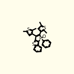 Cc1cc(C2=C(c3cc(C)sc3C)P(=O)(c3ccccc3)c3c2sc2ccccc32)c(C)s1